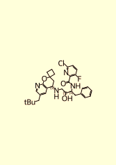 CC(C)(C)Cc1cnc2c(c1)[C@@H](NC[C@H](O)[C@H](Cc1ccccc1)NC(=O)c1nc(Cl)ccc1F)CC1(CCC1)O2